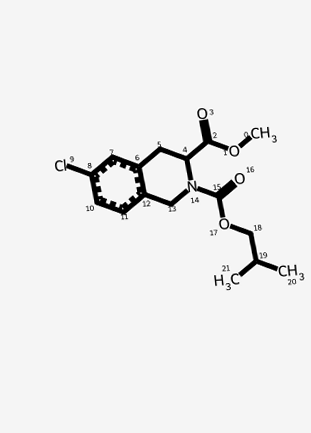 COC(=O)C1Cc2cc(Cl)ccc2CN1C(=O)OCC(C)C